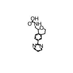 O=C(O)NCC1OCCc2cc(-c3ncccn3)ccc21